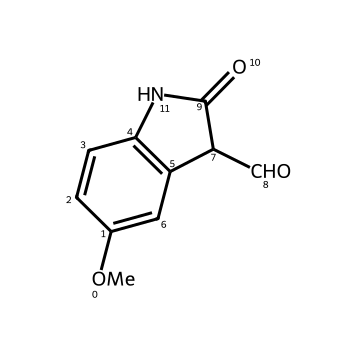 COc1ccc2c(c1)C(C=O)C(=O)N2